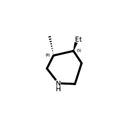 CC[C@H]1CCNC[C@@H]1C